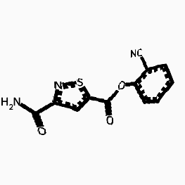 N#Cc1ccccc1OC(=O)c1cc(C(N)=O)ns1